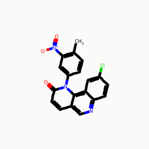 Cc1ccc(-n2c(=O)ccc3cnc4ccc(Cl)cc4c32)cc1[N+](=O)[O-]